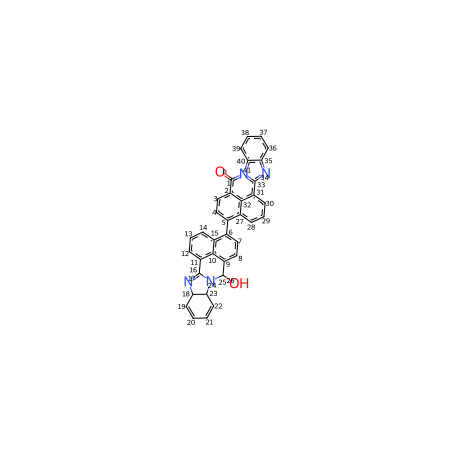 O=c1c2ccc(-c3ccc4c5c(cccc35)C3=NC5C=CC=CC5N3C4O)c3cccc(c32)c2nc3ccccc3n12